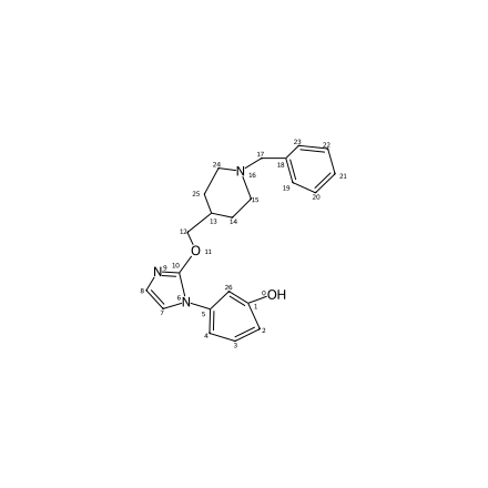 Oc1cccc(-n2ccnc2OCC2CCN(Cc3ccccc3)CC2)c1